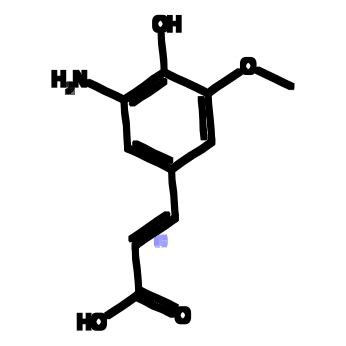 COc1cc(/C=C/C(=O)O)cc(N)c1O